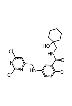 O=C(NCC1(O)CCCCC1)c1cc(NCc2cc(Cl)nc(Cl)n2)ccc1Cl